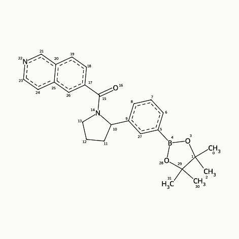 CC1(C)OB(c2cccc(C3CCCN3C(=O)c3ccc4cnccc4c3)c2)OC1(C)C